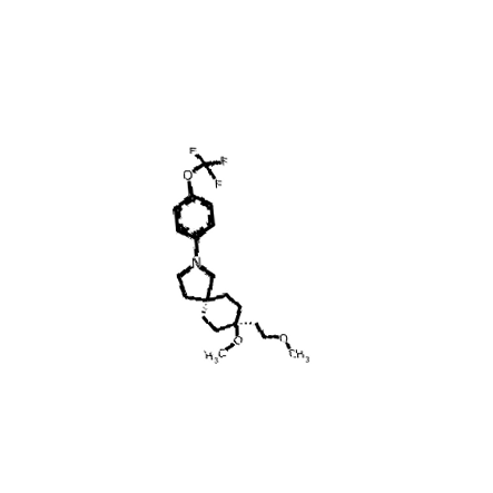 COCC[C@]1(OC)CC[C@@]2(CCN(c3ccc(OC(F)(F)F)cc3)C2)CC1